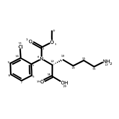 COC(=O)N(c1ccccc1Cl)[C@H](CCCCN)C(=O)O